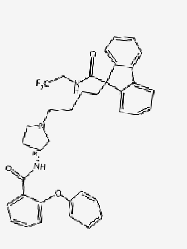 O=C(N[C@@H]1CCN(CCCCC2(C(=O)NCC(F)(F)F)c3ccccc3-c3ccccc32)C1)c1ccccc1Oc1ccccc1